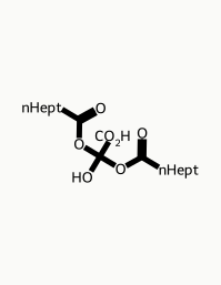 CCCCCCCC(=O)OC(O)(OC(=O)CCCCCCC)C(=O)O